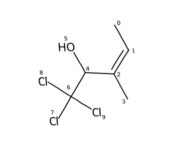 CC=C(C)C(O)C(Cl)(Cl)Cl